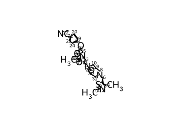 Cc1nc(C)c(CN2CC3CN(CCN(CCOc4ccc(C#N)cc4)S(C)(=O)=O)CC(C2)O3)s1